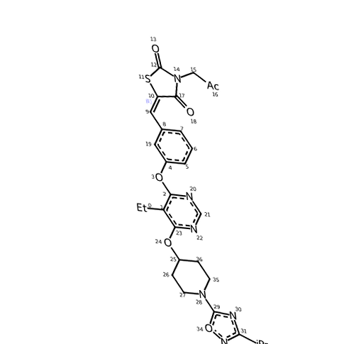 CCc1c(Oc2cccc(/C=C3/SC(=O)N(CC(C)=O)C3=O)c2)ncnc1OC1CCN(c2nc(C(C)C)no2)CC1